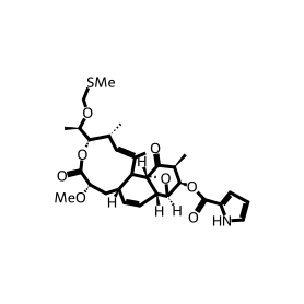 CO[C@H]1C[C@H]2C=C[C@H]3[C@H]4O[C@]2(/C(C)=C/[C@@H](C)[C@@H]([C@@H](C)OCSC)OC1=O)[C@@H]3C(=O)[C@@H](C)[C@H]4OC(=O)c1ccc[nH]1